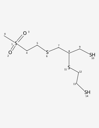 CS(=O)(=O)CCSCC(CS)SCCS